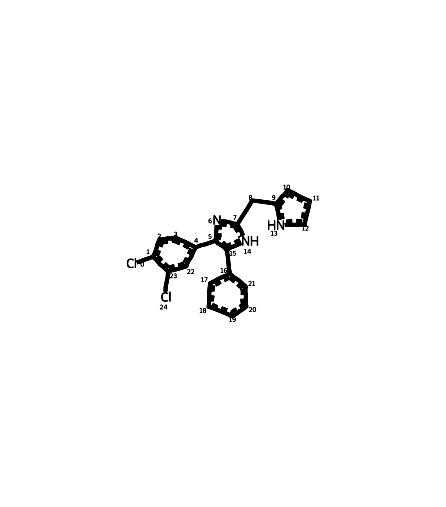 Clc1ccc(-c2nc(Cc3ccc[nH]3)[nH]c2-c2ccccc2)cc1Cl